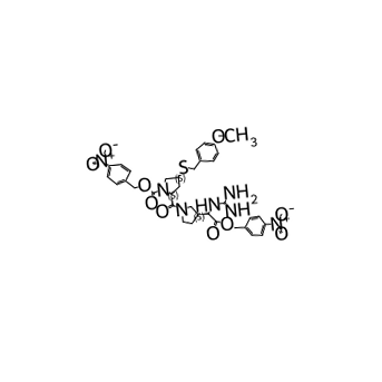 COc1ccc(CS[C@H]2C[C@@H](C(=O)N3CC[C@H](C(NC(=N)N)C(=O)OCc4ccc([N+](=O)[O-])cc4)C3)N(C(=O)OCc3ccc([N+](=O)[O-])cc3)C2)cc1